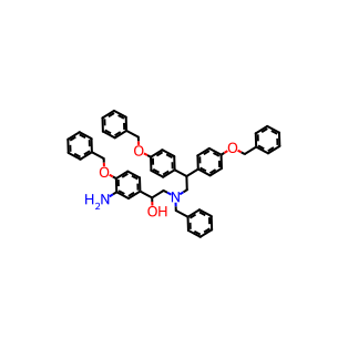 Nc1cc(C(O)CN(Cc2ccccc2)CC(c2ccc(OCc3ccccc3)cc2)c2ccc(OCc3ccccc3)cc2)ccc1OCc1ccccc1